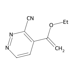 C=C(OCC)c1ccnnc1C#N